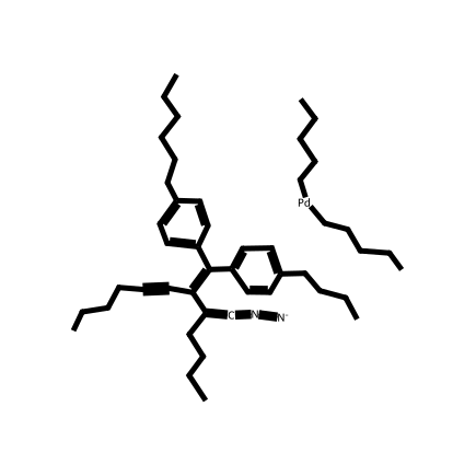 CCCCC#CC(C(=C=[N+]=[N-])CCCC)=C(c1ccc(CCCC)cc1)c1ccc(CCCCCC)cc1.CCCC[CH2][Pd][CH2]CCCC